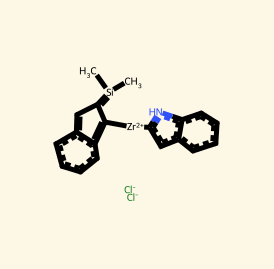 C[Si](C)=C1C=c2ccccc2=[C]1[Zr+2][c]1cc2ccccc2[nH]1.[Cl-].[Cl-]